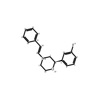 Fc1cccc([C@@H]2CN(C=Cc3ccccc3)CCO2)c1